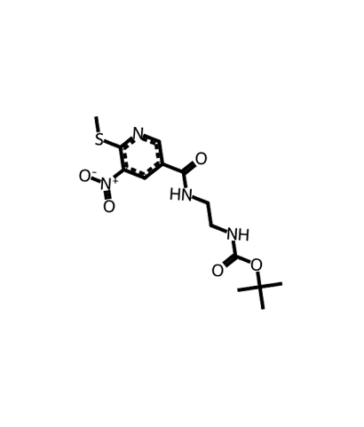 CSc1ncc(C(=O)NCCNC(=O)OC(C)(C)C)cc1[N+](=O)[O-]